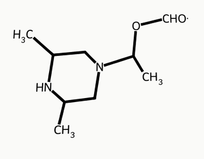 CC1CN(C(C)O[C]=O)CC(C)N1